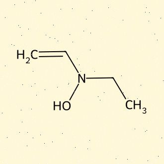 C=CN(O)CC